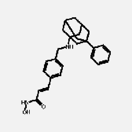 O=C(/C=C/c1ccc(CNC23CC4CC(C2)CC(c2ccccc2)(C4)C3)cc1)NO